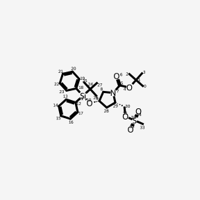 CC(C)(C)OC(=O)N1C[C@@H](O[Si](c2ccccc2)(c2ccccc2)C(C)(C)C)C[C@H]1COS(C)(=O)=O